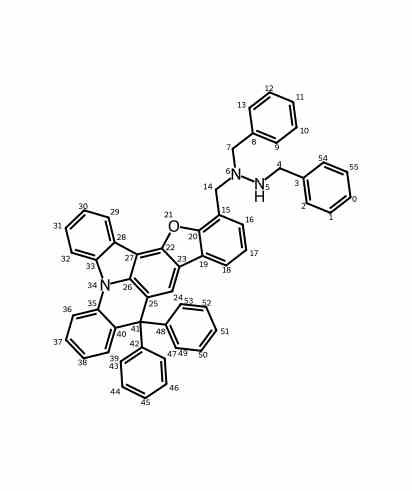 c1ccc(CNN(Cc2ccccc2)Cc2cccc3c2oc2c3cc3c4c2c2ccccc2n4-c2ccccc2C3(c2ccccc2)c2ccccc2)cc1